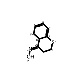 ON=C1CCSC2=CC=CCC21